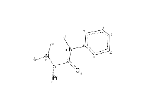 CC(C)[C@@H](C(=O)N(C)c1ccccc1)N(C)C